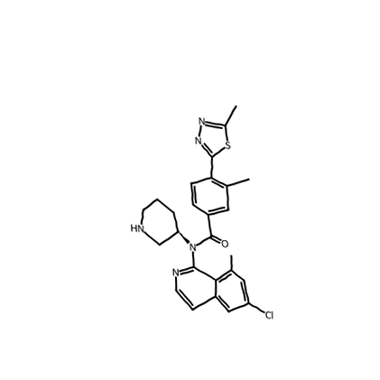 Cc1nnc(-c2ccc(C(=O)N(c3nccc4cc(Cl)cc(C)c34)[C@@H]3CCCNC3)cc2C)s1